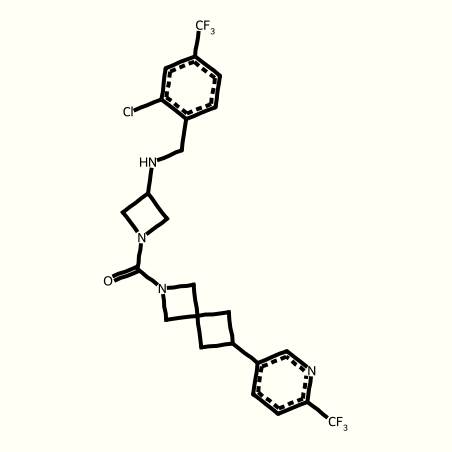 O=C(N1CC(NCc2ccc(C(F)(F)F)cc2Cl)C1)N1CC2(CC(c3ccc(C(F)(F)F)nc3)C2)C1